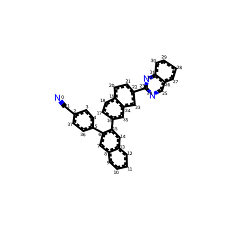 N#Cc1ccc(-c2cc3ccccc3cc2-c2ccc3ccc(-c4ncc5ccccc5n4)cc3c2)cc1